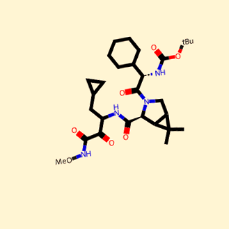 CONC(=O)C(=O)C(CC1CC1)NC(=O)[C@@H]1C2C(CN1C(=O)[C@@H](NC(=O)OC(C)(C)C)C1CCCCC1)C2(C)C